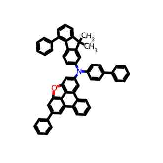 CC1(C)c2cc(N(c3ccc(-c4ccccc4)cc3)c3cc4oc5cc(-c6ccccc6)cc6c7ccccc7c(c3)c4c56)ccc2-c2c(-c3ccccc3)cccc21